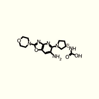 Nc1cc2oc(N3CCOCC3)nc2nc1N1CC[C@H](NC(=O)O)C1